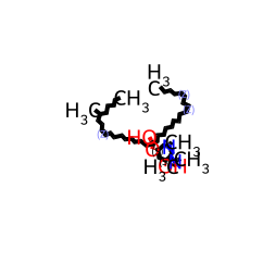 CCCCC/C=C\C/C=C\CCCCCCCCC(O)(CCCCCCCC/C=C\CCC(C)CCCCC)O[C@H]1C[C@H](O)C(N(C)C)CN(C)C1